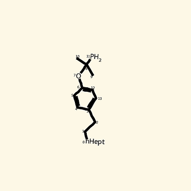 CCCCCCCCCc1ccc(OC(C)(C)P)cc1